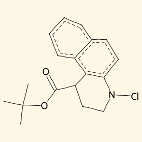 CC(C)(C)OC(=O)C1CCN(Cl)c2ccc3ccccc3c21